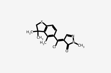 Cc1c(C(Cl)=C2C=NN(C)C2=O)ccc2c1C(C)(C)CS2